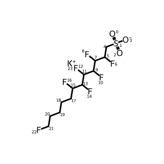 O=S(=O)([O-])CC(F)C(F)C(F)C(F)C(F)C(F)CCCCCF.[K+]